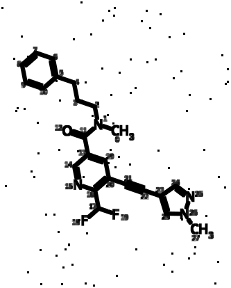 CN(CCCc1ccccc1)C(=O)c1cnc(C(F)F)c(C#Cc2cnn(C)c2)c1